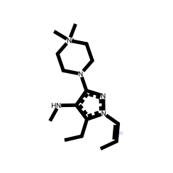 C/C=C\n1nc(N2CC[N+](C)(C)CC2)c(NC)c1CC